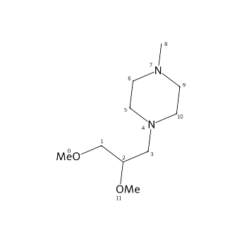 COCC(CN1CCN(C)CC1)OC